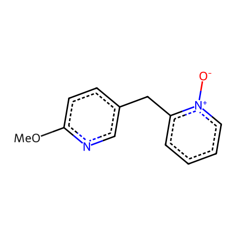 COc1ccc(Cc2cccc[n+]2[O-])cn1